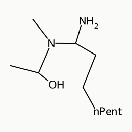 CCCCCCCC(N)N(C)C(C)O